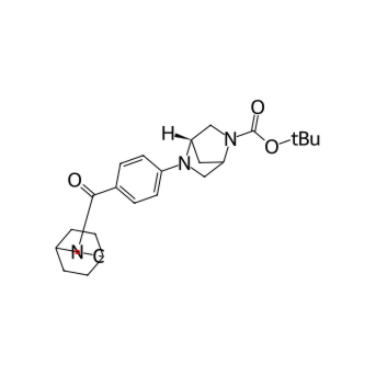 CC(C)(C)OC(=O)N1C[C@@H]2CC1CN2c1ccc(C(=O)N2CC3CCC(CC3)C2)cc1